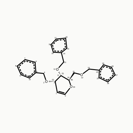 C1=C[C@H](OCc2ccccc2)[C@H](OCc2ccccc2)[C@@H](COCc2ccccc2)O1